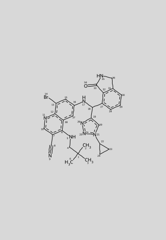 CC(C)(C)CNc1c(C#N)cnc2c(Br)cc(NC(c3cn(C4CC4)nn3)c3cccc4c3C(=O)NC4)cc12